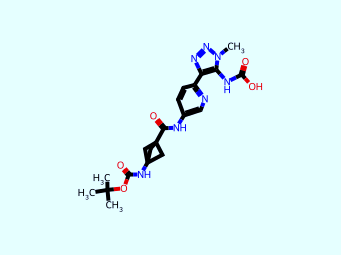 Cn1nnc(-c2ccc(NC(=O)C34CC(NC(=O)OC(C)(C)C)(C3)C4)cn2)c1NC(=O)O